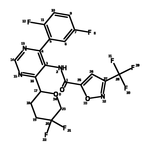 O=C(Nc1c(-c2cc(F)ccc2F)ncnc1C1CCC(F)(F)CO1)c1cc(C(F)(F)F)no1